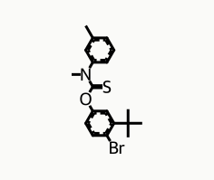 Cc1cccc(N(C)C(=S)Oc2ccc(Br)c(C(C)(C)C)c2)c1